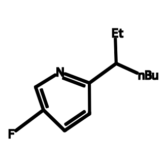 CCCCC(CC)c1ccc(F)cn1